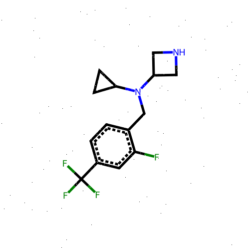 Fc1cc(C(F)(F)F)ccc1CN(C1CC1)C1CNC1